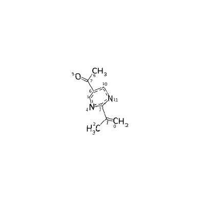 C=C(C)c1ncc(C(C)=O)cn1